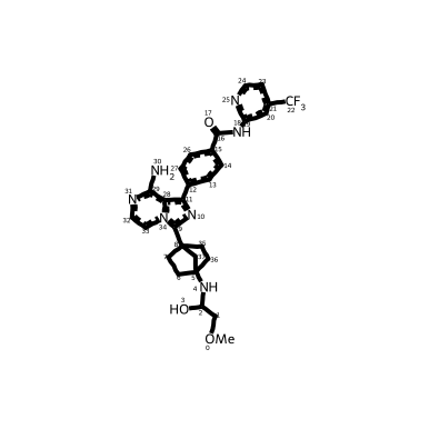 COCC(O)NC12CCC(c3nc(-c4ccc(C(=O)Nc5cc(C(F)(F)F)ccn5)cc4)c4c(N)nccn34)(CC1)C2